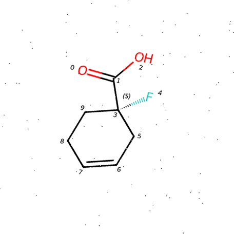 O=C(O)[C@@]1(F)CC=CCC1